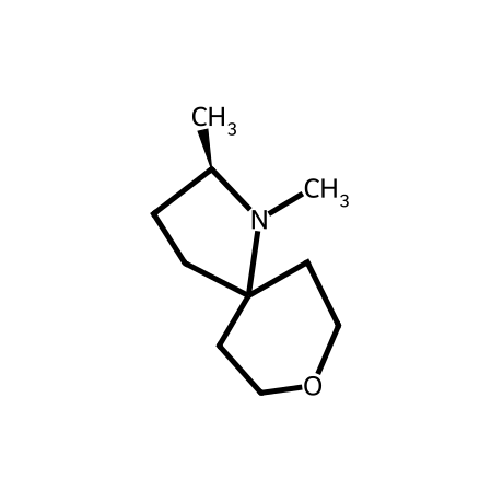 C[C@@H]1CCC2(CCOCC2)N1C